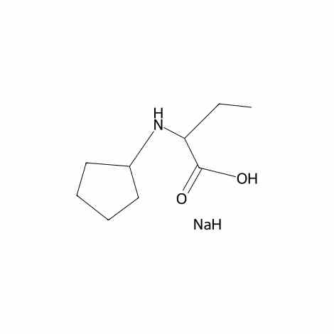 CCC(NC1CCCC1)C(=O)O.[NaH]